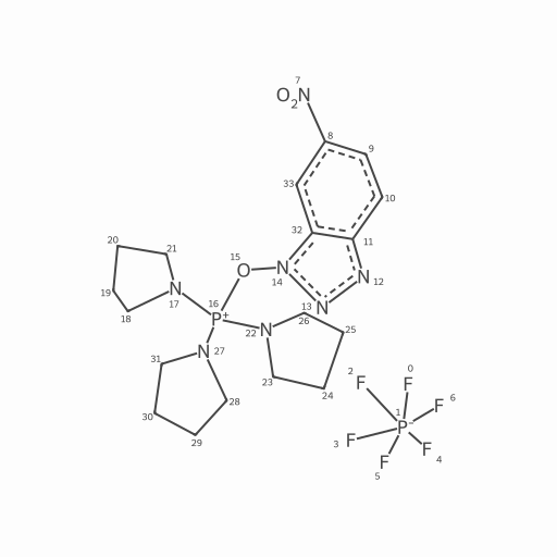 F[P-](F)(F)(F)(F)F.O=[N+]([O-])c1ccc2nnn(O[P+](N3CCCC3)(N3CCCC3)N3CCCC3)c2c1